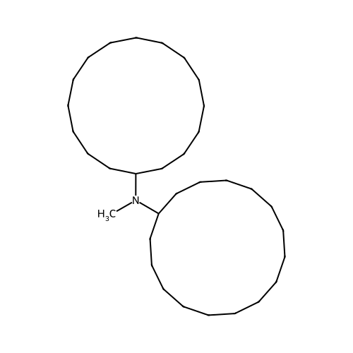 CN(C1CCCCCCCCCCCCCCC1)C1CCCCCCCCCCCCCCC1